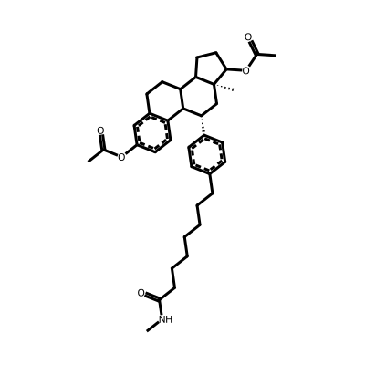 CNC(=O)CCCCCCCc1ccc([C@H]2C[C@]3(C)C(OC(C)=O)CCC3C3CCc4cc(OC(C)=O)ccc4C32)cc1